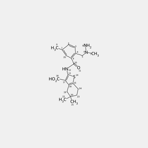 Cc1ccc(CN(C)N)c(C(=O)Nc2sc3c(c2C(=O)O)CC(C)(C)CC3)c1